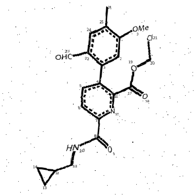 COc1cc(-c2ccc(C(=O)NCC3CC3)nc2C(=O)OCCl)c(C=O)cc1C